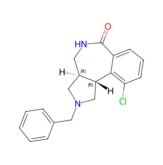 O=C1NC[C@@H]2CN(Cc3ccccc3)C[C@H]2c2c(Cl)cccc21